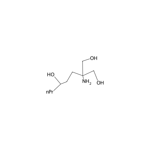 CCCC(O)CCC(N)(CO)CO